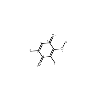 COC1=C(C)C(=O)C(C)=CC1=O